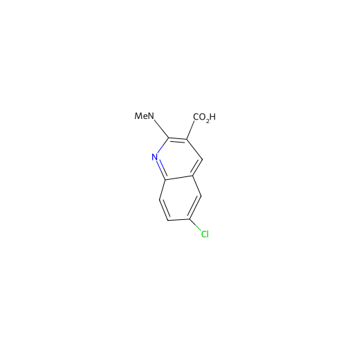 CNc1nc2ccc(Cl)cc2cc1C(=O)O